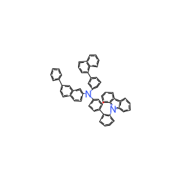 c1ccc(-c2ccc3ccc(N(c4ccc(-c5ccccc5-n5c6ccccc6c6ccccc65)cc4)c4cccc(-c5cccc6ccccc56)c4)cc3c2)cc1